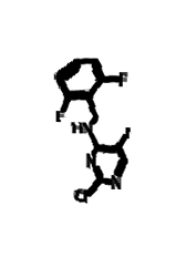 Fc1cccc(F)c1CNc1nc(Cl)ncc1I